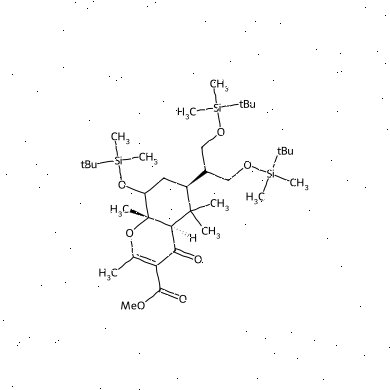 COC(=O)C1=C(C)O[C@]2(C)C(O[Si](C)(C)C(C)(C)C)C[C@@H](C(CO[Si](C)(C)C(C)(C)C)CO[Si](C)(C)C(C)(C)C)C(C)(C)[C@H]2C1=O